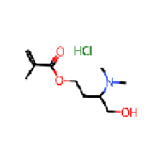 C=C(C)C(=O)OCCC(CO)N(C)C.Cl